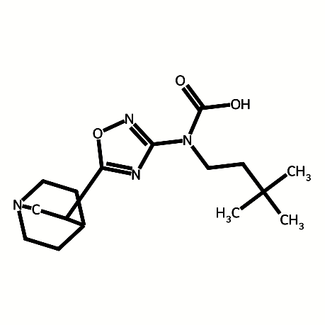 CC(C)(C)CCN(C(=O)O)c1noc(C2CN3CCC2CC3)n1